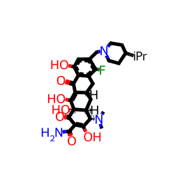 CC(C)C1CCN(Cc2cc(O)c3c(c2F)C[C@H]2C[C@H]4[C@H](N(C)C)C(O)=C(C(N)=O)C(=O)[C@@]4(O)C(O)=C2C3=O)CC1